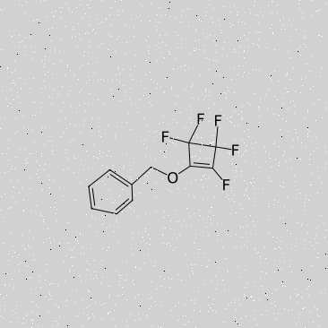 FC1=C(OCc2ccccc2)C(F)(F)C1(F)F